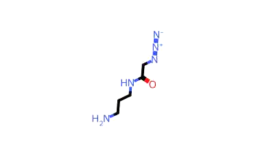 [N-]=[N+]=NCC(=O)NCCCN